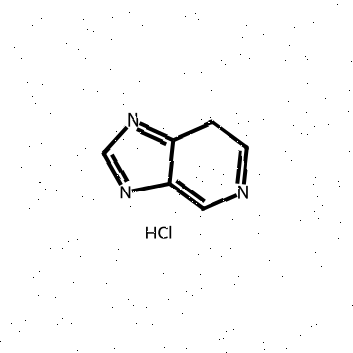 C1=NC=C2N=CN=C2C1.Cl